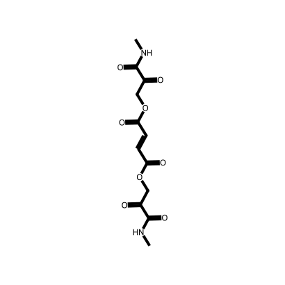 CNC(=O)C(=O)COC(=O)/C=C/C(=O)OCC(=O)C(=O)NC